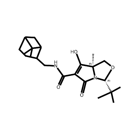 CC1(C)C2CCC(CNC(=O)C3=C(O)[C@@]4(C)CO[C@H](C(C)(C)C)N4C3=O)C1C2